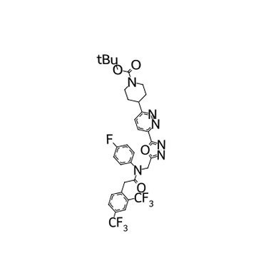 CC(C)(C)OC(=O)N1CCC(c2ccc(-c3nnc(CN(C(=O)Cc4ccc(C(F)(F)F)cc4C(F)(F)F)c4ccc(F)cc4)o3)nn2)CC1